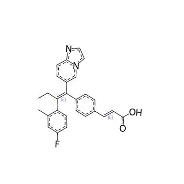 CC/C(=C(/c1ccc(/C=C/C(=O)O)cc1)c1ccc2nccn2c1)c1ccc(F)cc1C